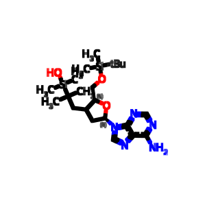 CC(C)(CC1C[C@H](n2cnc3c(N)ncnc32)O[C@@H]1CO[Si](C)(C)C(C)(C)C)[Si](C)(C)O